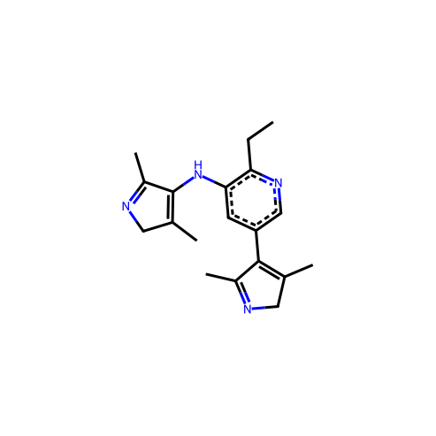 CCc1ncc(C2=C(C)CN=C2C)cc1NC1=C(C)CN=C1C